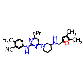 CCCc1cc(N2CCCC(NCc3cc(C)c(C)o3)C2)nc(Nc2ccc(C)c(C#N)c2)n1